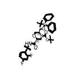 CC(C)(C)OC(=O)N1C[C@@H](C(=O)NC(C)(C)c2ccc(F)cc2F)OC[C@H]1CO[Si](c1ccccc1)(c1ccccc1)C(C)(C)C